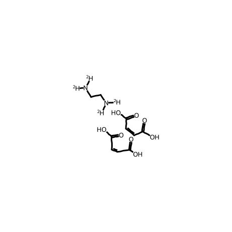 O=C(O)/C=C\C(=O)O.O=C(O)/C=C\C(=O)O.[2H]N([2H])CCN([2H])[2H]